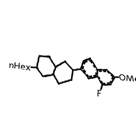 CCCCCCC1CCC2CC(c3ccc4cc(OC)cc(F)c4c3)CCC2C1